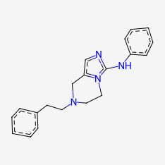 c1ccc(CCN2CCn3c(cnc3Nc3ccccc3)C2)cc1